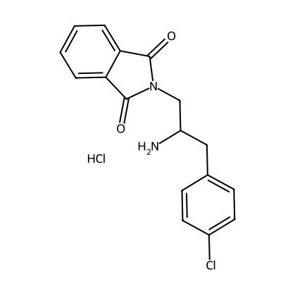 Cl.NC(Cc1ccc(Cl)cc1)CN1C(=O)c2ccccc2C1=O